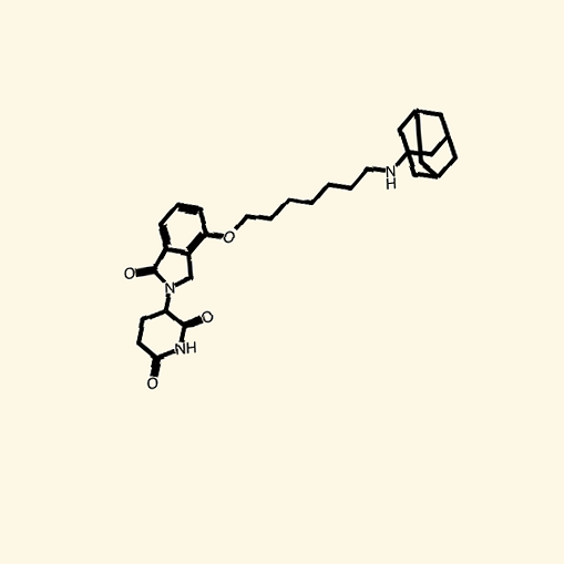 O=C1CCC(N2Cc3c(OCCCCCCCNC45CC6CC(CC(C6)C4)C5)cccc3C2=O)C(=O)N1